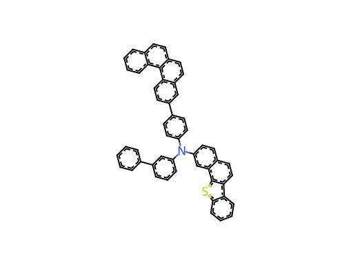 c1ccc(-c2cccc(N(c3ccc(-c4ccc5c(ccc6ccc7ccccc7c65)c4)cc3)c3ccc4ccc5c6ccccc6sc5c4c3)c2)cc1